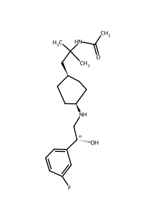 CC(=O)NC(C)(C)C[C@H]1CC[C@@H](NC[C@H](O)c2cccc(F)c2)CC1